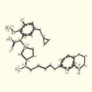 COc1c(F)cc(CC2CC2)cc1[C@H](C(=O)O)N1CC[C@@H](N(C)CCCCCc2ccc3c(n2)NCCC3)C1